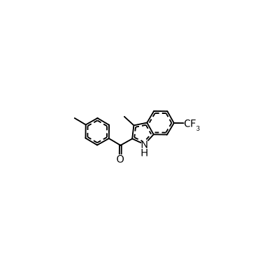 Cc1ccc(C(=O)c2[nH]c3cc(C(F)(F)F)ccc3c2C)cc1